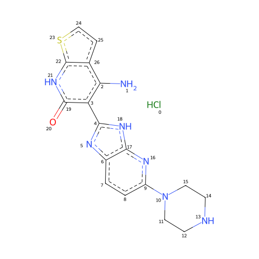 Cl.Nc1c(-c2nc3ccc(N4CCNCC4)nc3[nH]2)c(=O)[nH]c2sccc12